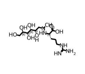 CN(C[C@H](O)[C@@H](O)[C@H](O)[C@H](O)CO)N[C@@H](CCCNC(=N)N)C(=O)O